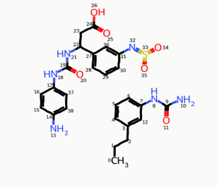 CCCc1cccc(NC(N)=O)c1.Nc1ccc(NC(=O)NC(CC(=O)O)c2cccc(N=S(=O)=O)c2)cc1